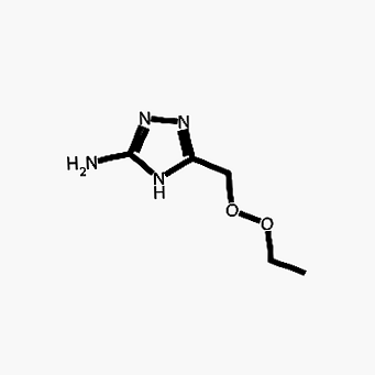 CCOOCc1nnc(N)[nH]1